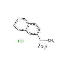 CC(C(=O)O)c1ccc2ccccc2c1.Cl